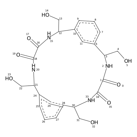 O=C1NC(CO)c2cccc(c2)C(CO)NC(=O)C(=O)NC(CO)c2cccc(c2)C(CO)NC1=O